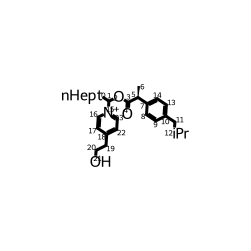 CCCCCCCC(OC(=O)[C@@H](C)c1ccc(CC(C)C)cc1)[n+]1ccc(CCO)cc1